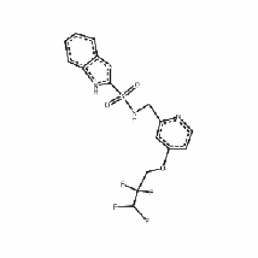 O=S(=O)(NCc1cc(OCC(F)(F)C(F)F)ccn1)c1nc2ccccc2[nH]1